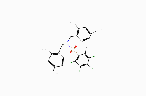 COc1ccc(CN(Cc2ccc(OC)cc2OC)S(=O)(=O)c2c(F)c(F)c(F)c(F)c2C(=O)O)c(OC)c1